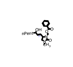 CCCCCC(O)/C=C/C1CN(C)C(=O)N1COC(=O)c1ccccc1